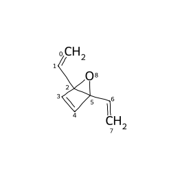 C=CC12C=CC1(C=C)O2